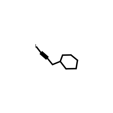 IC#CCC1CCCCC1